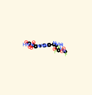 O=C1CCC(N2C(=O)c3ccc(N4CC(N5CCN(c6ccc(-c7cnc8[nH]cc(C(=O)c9c(F)ccc(NS(=O)(=O)N%10CC[C@@H](F)C%10)c9F)c8c7)cc6)CC5)C4)cc3C2=O)C(=O)N1